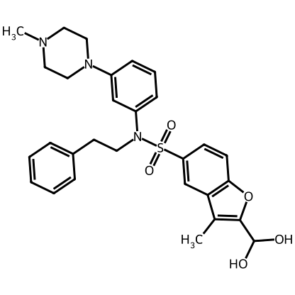 Cc1c(C(O)O)oc2ccc(S(=O)(=O)N(CCc3ccccc3)c3cccc(N4CCN(C)CC4)c3)cc12